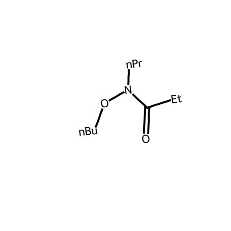 CCCCON(CCC)C(=O)CC